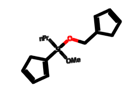 CCC[Si](OC)(OCC1=CC=CC1)C1=CC=CC1